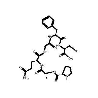 C[C@@H](NC(=O)[C@@H]1CCCN1)C(=O)N[C@@H](CCC(N)=O)C(=O)NCC(=O)N[C@@H](Cc1ccccc1)C(=O)N[C@@H](CS)C(=O)O